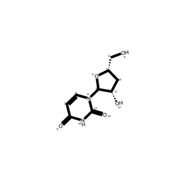 O=c1ccn(C2O[C@H](CO)C[C@@H]2O)c(=O)[nH]1